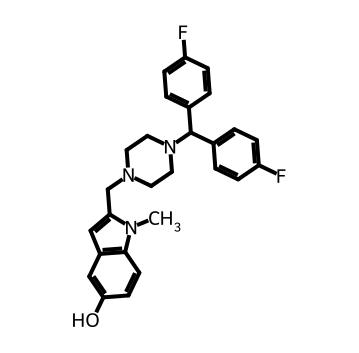 Cn1c(CN2CCN(C(c3ccc(F)cc3)c3ccc(F)cc3)CC2)cc2cc(O)ccc21